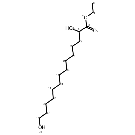 CCOC(=O)C(O)CCCCCCCCCCCCO